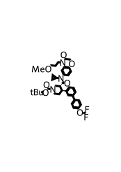 COCCCN1C(=O)COc2ccc(N(C(=O)[C@H]3CN(C(=O)OC(C)(C)C)CC[C@@H]3c3cccc(-c4ccc(OC(F)F)cc4)c3)C3CC3)cc21